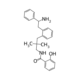 CC(C)(CNC(=O)c1ccccc1O)Cc1ccccc1CC(N)c1ccccc1